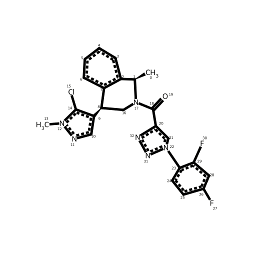 C[C@@H]1c2ccccc2[C@H](c2cnn(C)c2Cl)CN1C(=O)c1cn(-c2ccc(F)cc2F)nn1